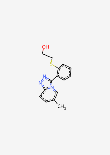 Cc1ccc2nnc(-c3ccccc3SCCO)n2c1